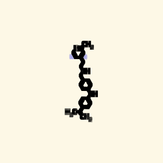 C=C/C=C(\C=C/CC)CCNCc1ccc(Nc2ccc(C(=C)C)cc2)cc1